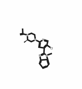 C=C(C)N1CCN(c2cc(-c3nc4ccccc4n3C)c(Cl)cn2)C[C@H]1C